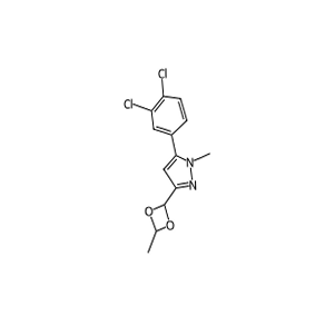 CC1OC(c2cc(-c3ccc(Cl)c(Cl)c3)n(C)n2)O1